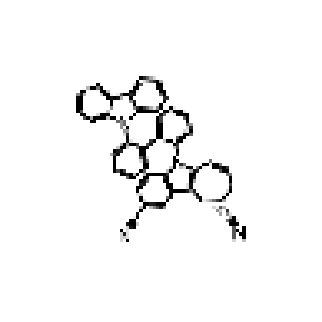 N#Cc1ccc2c(c1)c1c(n2-c2ccccc2-c2ccccc2-n2c3ccccc3c3ccccc32)C=CC[C@H](C#N)C1